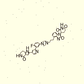 Cn1c(=O)n(C2CCC(=O)NC2=O)c2cccc(CCCN3CCN(c4ccc(F)c(-c5cc(-c6cc7c([nH]6)CCNC7=O)ccn5)c4)CC3)c21